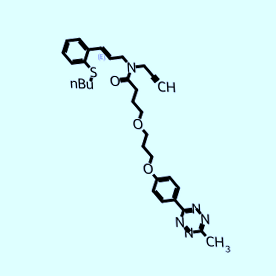 C#CCN(C/C=C/c1ccccc1SCCCC)C(=O)CCCOCCCOc1ccc(-c2nnc(C)nn2)cc1